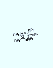 CCC[Si](CCC)(CCC)P[Si](CCC)(CCC)CCC